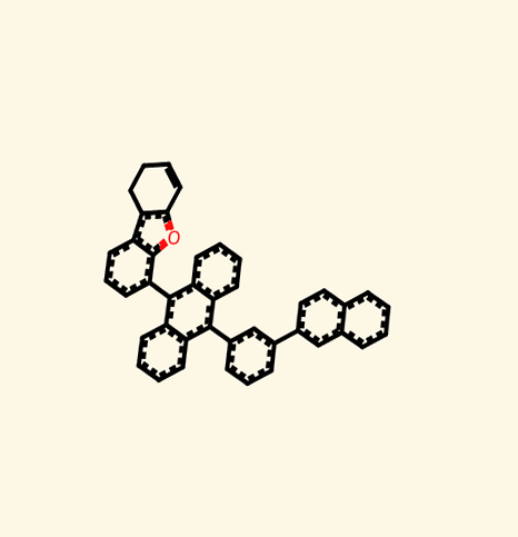 C1=Cc2oc3c(-c4c5ccccc5c(-c5cccc(-c6ccc7ccccc7c6)c5)c5ccccc45)cccc3c2CC1